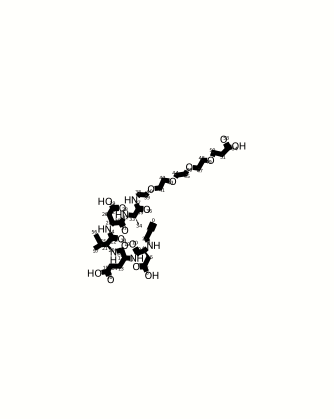 C#CCN[C@@H](CC(=O)O)C(=O)NC(CCC(=O)O)C(=O)N[C@H](C(=O)NC(CC(=O)O)C(=O)N[C@@H](C)C(=O)NCCOCCOCCOCCOCCC(=O)O)C(C)C